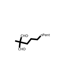 CCCCCCCCC(C)([C]=O)[C]=O